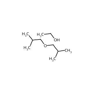 CC(C)COCC(C)C.CCO